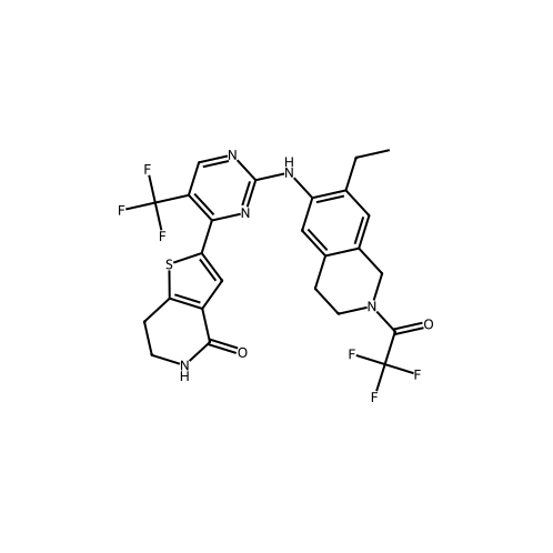 CCc1cc2c(cc1Nc1ncc(C(F)(F)F)c(-c3cc4c(s3)CCNC4=O)n1)CCN(C(=O)C(F)(F)F)C2